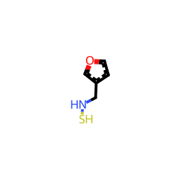 SNCc1ccoc1